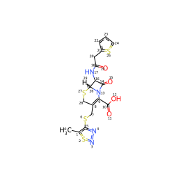 Cc1snnc1SCC1=C(C(=O)O)N2C(=O)C(NC(=O)Cc3cccs3)[C@H]2SC1